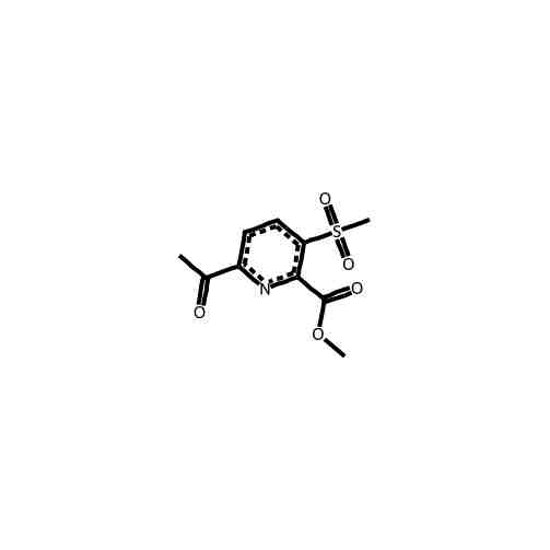 COC(=O)c1nc(C(C)=O)ccc1S(C)(=O)=O